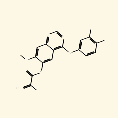 C=C(Cl)C(=O)Nc1cc2c(Nc3ccc(F)c(Cl)c3)ncnc2cc1OC